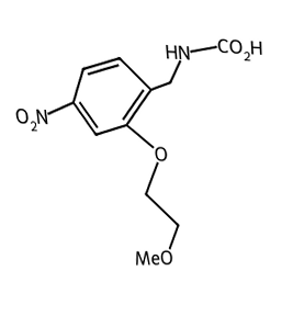 COCCOc1cc([N+](=O)[O-])ccc1CNC(=O)O